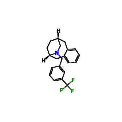 FC(F)(F)c1cccc(CN2C[C@@H]3CC[C@H]2Cc2ccccc2C3)c1